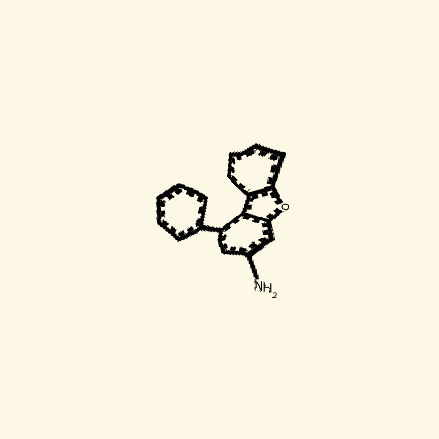 Nc1cc(-c2ccccc2)c2c(c1)oc1ccccc12